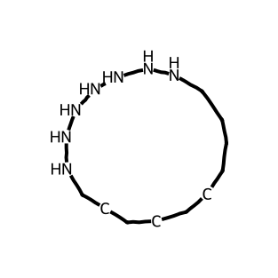 C1CCCCCNNNNNNNCCCC1